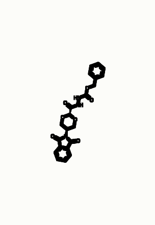 O=C(NNC(=O)[C@H]1OC[C@H](N2C(=O)c3ccccc3C2=O)CO1)OCc1ccccc1